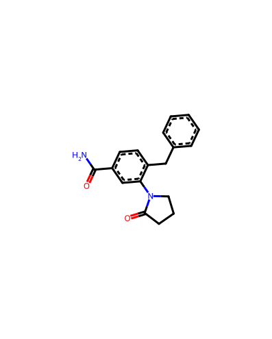 NC(=O)c1ccc(Cc2ccccc2)c(N2CCCC2=O)c1